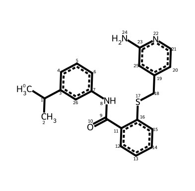 CC(C)c1cccc(NC(=O)c2ccccc2SCc2ccnc(N)c2)c1